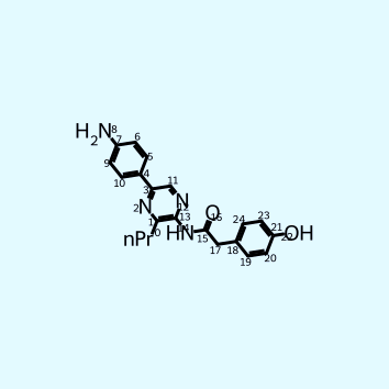 CCCc1nc(-c2ccc(N)cc2)cnc1NC(=O)Cc1ccc(O)cc1